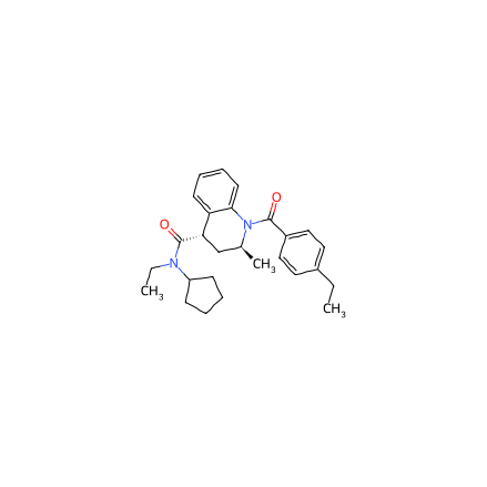 CCc1ccc(C(=O)N2c3ccccc3[C@@H](C(=O)N(CC)C3CCCC3)C[C@@H]2C)cc1